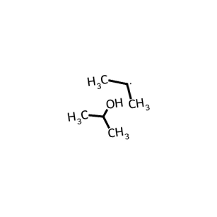 CC(C)O.C[CH]C